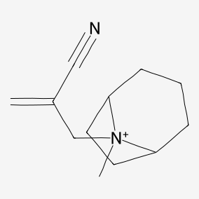 C=C(C#N)C[N+]1(C)C2CCCC1CC2